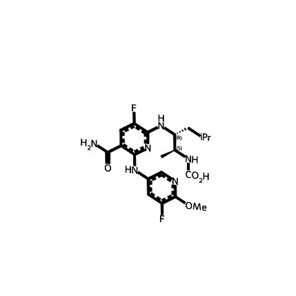 COc1ncc(Nc2nc(N[C@H](CC(C)C)[C@H](C)NC(=O)O)c(F)cc2C(N)=O)cc1F